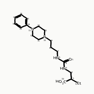 CCC(CNC(=O)NCCCN1CCN(c2ccccc2)CC1)C(=O)O